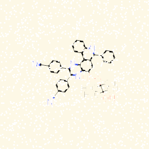 CC(C)(O)C(C)(C)OBc1cc2c(-c3ccccc3)nc3ccccc3c2c2nc(-c3ccc(C#N)cc3)c(-c3ccc(C#N)cc3)nc12